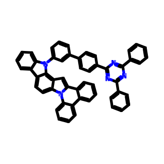 c1ccc(-c2nc(-c3ccccc3)nc(-c3ccc(-c4cccc(-n5c6ccccc6c6ccc7c(cc8c9ccccc9c9ccccc9n87)c65)c4)cc3)n2)cc1